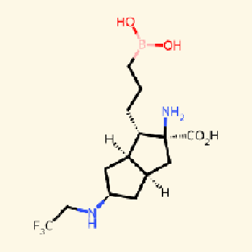 N[C@@]1(C(=O)O)C[C@H]2C[C@@H](NCC(F)(F)F)C[C@H]2[C@@H]1CCCB(O)O